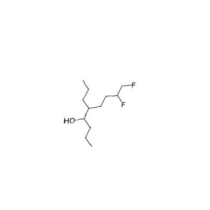 CCCC(O)C(CCC)CCC(F)CF